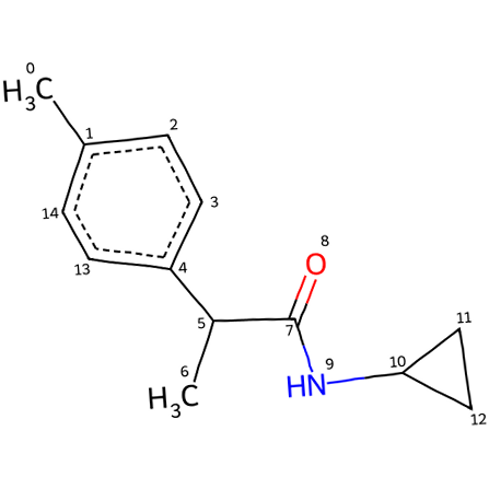 Cc1ccc(C(C)C(=O)NC2CC2)cc1